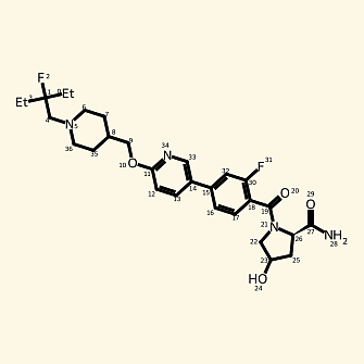 CCC(F)(CC)CN1CCC(COc2ccc(-c3ccc(C(=O)N4CC(O)C[C@@H]4C(N)=O)c(F)c3)cn2)CC1